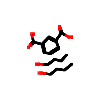 CCCCO.CCCCO.O=C(O)c1cccc(C(=O)O)c1